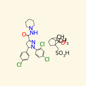 CC1(C)C2CCC1(CS(=O)(=O)O)C(=O)C2.O=C(NN1CCCCC1)C1=NN(c2ccc(Cl)cc2Cl)C(c2ccc(Cl)cc2)C1